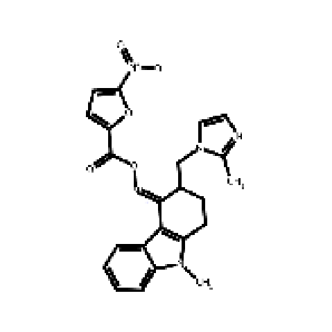 Cc1nccn1CC1CCc2c(c3ccccc3n2C)/C1=N/OC(=O)c1ccc([N+](=O)[O-])o1